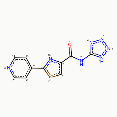 O=C(Nc1nnn[nH]1)c1csc(-c2ccncc2)n1